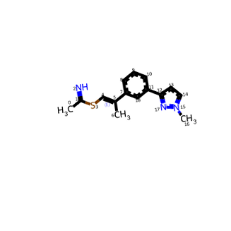 CC(=N)S/C=C(\C)c1cccc(-c2ccn(C)n2)c1